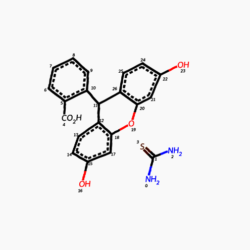 NC(N)=S.O=C(O)c1ccccc1C1c2ccc(O)cc2Oc2cc(O)ccc21